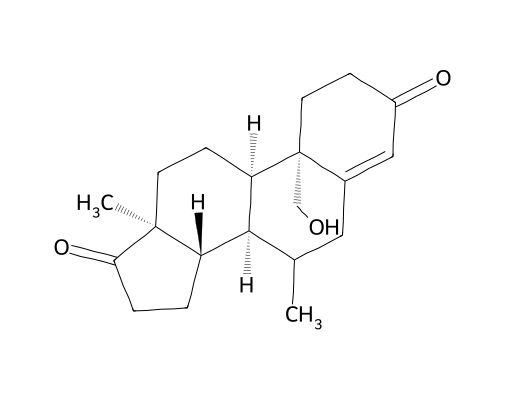 CC1CC2=CC(=O)CC[C@]2(CO)[C@@H]2CC[C@]3(C)C(=O)CC[C@H]3[C@H]12